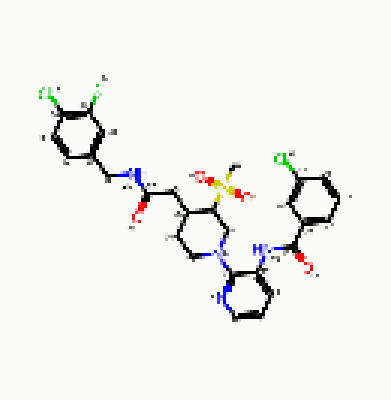 CS(=O)(=O)C1CN(c2ncccc2NC(=O)c2cccc(Cl)c2)CCC1CC(=O)NCc1ccc(Cl)c(Cl)c1